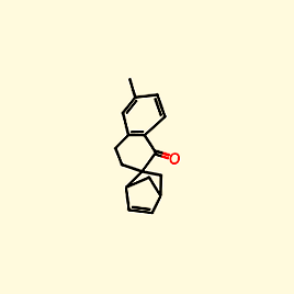 Cc1ccc2c(c1)CCC1(CC3C=CC1C3)C2=O